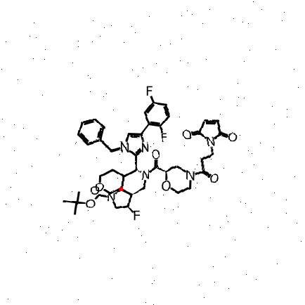 CC(C)(C)OC(=O)N1C[C@@H](CN(C(=O)[C@H]2CN(C(=O)CCN3C(=O)C=CC3=O)CCO2)[C@@H](c2nc(-c3cc(F)ccc3F)cn2Cc2ccccc2)C2CCOCC2)[C@@H](F)C1